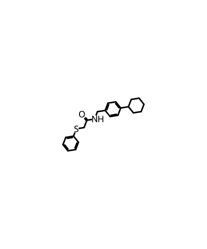 O=C(CSc1ccccc1)NCc1ccc(C2CCCCC2)cc1